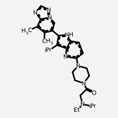 CCN(CC(=O)N1CCN(c2ccc3[nH]c(-c4cn5ncnc5c(C)c4C)c(C(C)C)c3n2)CC1)C(C)C